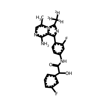 [2H]C([2H])([2H])c1nc(-c2ccc(NC(=O)C(O)c3cccc(F)c3)cc2F)c2c(N)ncc(C)n12